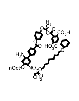 C=CC(=O)OCCCCCCCCOc1ccccc1.CCCCCCCCOc1cc(N)c(-c2ccc(C(=O)Oc3ccc(OC(C)OC(=O)c4cc(C(=O)O)ccc4C(=O)O)cc3)cc2)cc1[N+](=O)[O-]